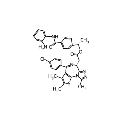 Cc1sc2c(c1C)C(c1ccc(Cl)cc1)=N[C@H](CC(=O)O[C@@H](C)c1ccc(C(=O)Nc3ccccc3N)cc1)c1nnc(C)n1-2